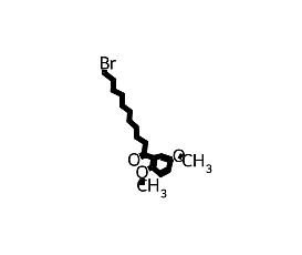 COc1ccc(OC)c(C(=O)CCCCCCCCCCBr)c1